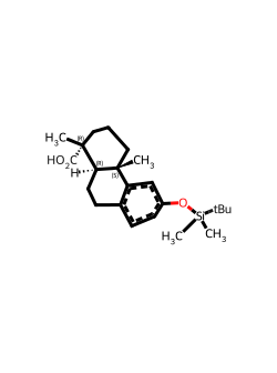 CC(C)(C)[Si](C)(C)Oc1ccc2c(c1)[C@@]1(C)CCC[C@@](C)(C(=O)O)[C@@H]1CC2